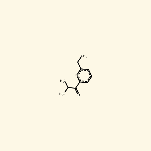 CCc1cccc(C(=O)C(C)C)n1